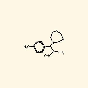 Cc1ccc(C(C(C)C=O)N2CCCCCC2)cc1